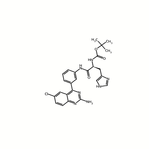 CC(C)(C)OC(=O)N[C@@H](Cc1c[nH]cn1)C(=O)Nc1cccc(-c2nc(N)nc3ccc(Cl)cc23)c1